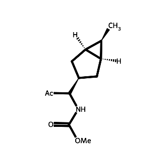 COC(=O)NC(C(C)=O)[C@@H]1C[C@@H]2[C@H](C)[C@@H]2C1